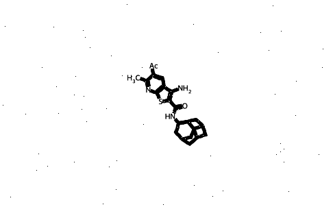 CC(=O)c1cc2c(N)c(C(=O)NC34CC5CC6CC(C3)C6(C5)C4)sc2nc1C